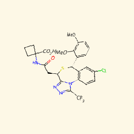 COc1cccc([C@H]2S[C@H](CC(=O)NC3(C(=O)O)CCC3)c3nnc(C(F)(F)F)n3-c3ccc(Cl)cc32)c1OC